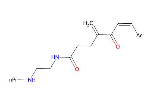 C=C(CCC(=O)NCCNCCC)C(=O)/C=C\C(C)=O